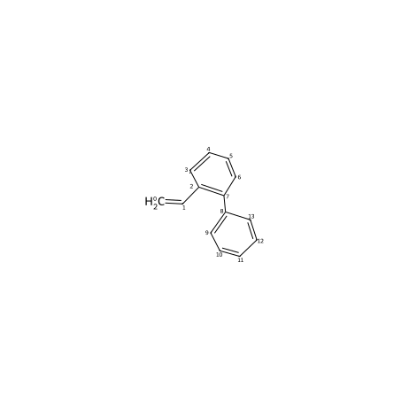 C=Cc1[c]cccc1-c1ccccc1